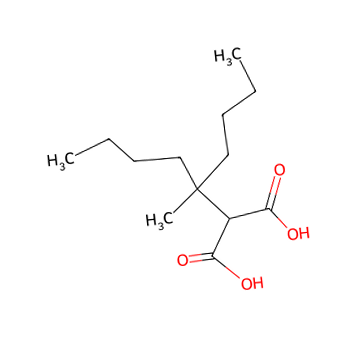 CCCCC(C)(CCCC)C(C(=O)O)C(=O)O